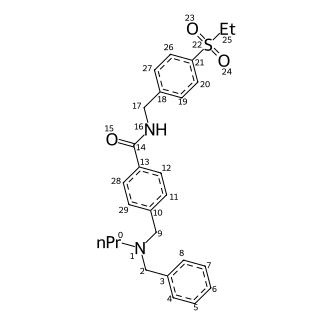 CCCN(Cc1ccccc1)Cc1ccc(C(=O)NCc2ccc(S(=O)(=O)CC)cc2)cc1